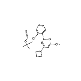 CC(C)(C)OC=O.Oc1cc(N2CCC2)nc(-c2ccccc2Cl)n1